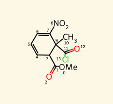 COC(=O)C1C=CC=C([N+](=O)[O-])C1(C)C(=O)Cl